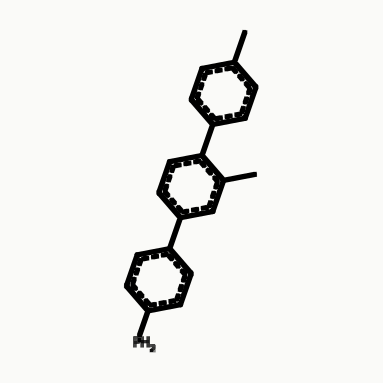 Cc1ccc(-c2ccc(-c3ccc(P)cc3)cc2C)cc1